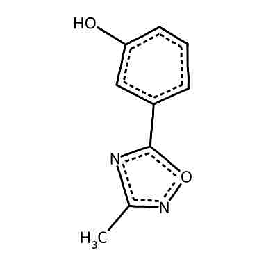 Cc1noc(-c2cccc(O)c2)n1